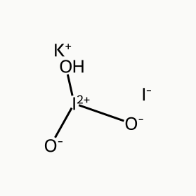 [I-].[K+].[O-][I+2]([O-])O